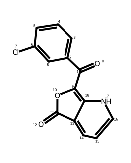 O=C(c1cccc(Cl)c1)c1oc(=O)c2ccc[nH]c1-2